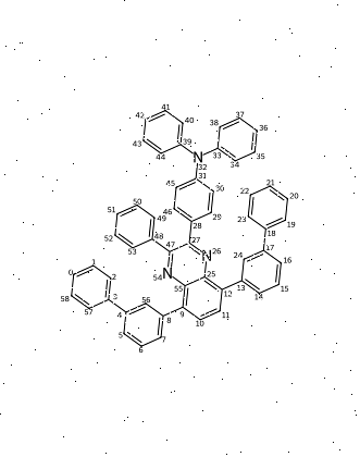 c1ccc(-c2cccc(-c3ccc(-c4cccc(-c5ccccc5)c4)c4nc(-c5ccc(N(c6ccccc6)c6ccccc6)cc5)c(-c5ccccc5)nc34)c2)cc1